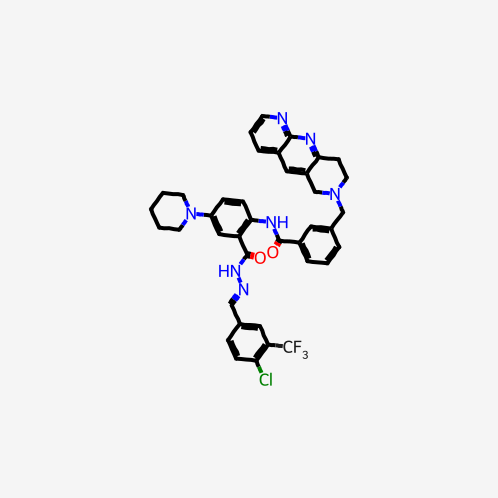 O=C(Nc1ccc(N2CCCCC2)cc1C(=O)NN=Cc1ccc(Cl)c(C(F)(F)F)c1)c1cccc(CN2CCc3nc4ncccc4cc3C2)c1